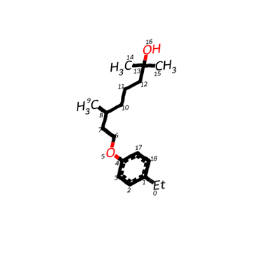 CCc1ccc(OCCC(C)CCCC(C)(C)O)cc1